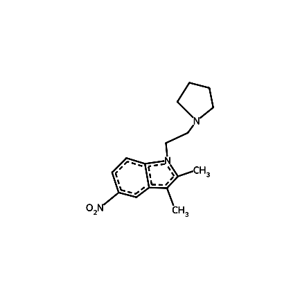 Cc1c(C)n(CCN2CCCC2)c2ccc([N+](=O)[O-])cc12